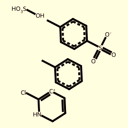 Cc1ccc(S(=O)(=O)[O-])cc1.Cc1ccccc1.ClC1=[C+]C=CCN1.O=S(=O)(O)O